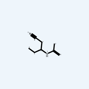 C=C(C)NC(CC)CC#N